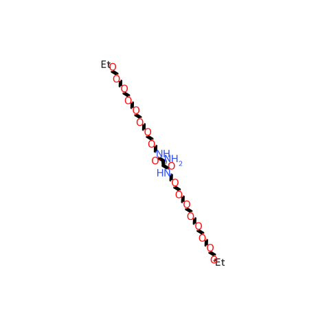 CCOCCOCCOCCOCCOCCOCCOCCOCCNC(=O)C[C@@H](N)C(=O)NCCOCCOCCOCCOCCOCCOCCOCCOCC